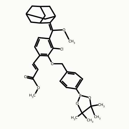 COC(=O)/C=C/c1ccc(C(OC)=C2C3CC4CC(C3)CC2C4)c(Cl)c1OCc1ccc(B2OC(C)(C)C(C)(C)O2)cc1